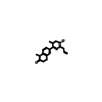 C=CCN1N=C(c2ccc3c(c2)CCC(=O)N3C)C(C)C[NH+]1[O-]